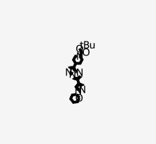 CC(C)(C)OC(=O)N1CCC(c2cnn3cc(-c4cnn(C5CCCCO5)c4)cnc23)CC1